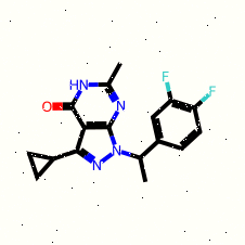 Cc1nc2c(c(C3CC3)nn2C(C)c2ccc(F)c(F)c2)c(=O)[nH]1